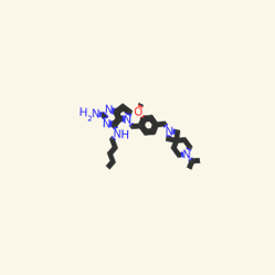 CCCCCNc1nc(N)nc2ccn(Cc3ccc(CN4CC5(CCN(C(C)C)CC5)C4)cc3OC)c12